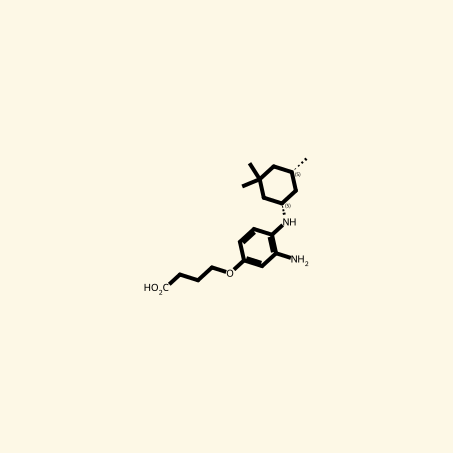 C[C@@H]1C[C@H](Nc2ccc(OCCCC(=O)O)cc2N)CC(C)(C)C1